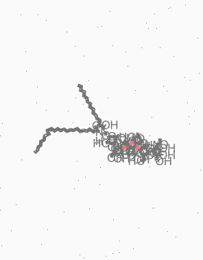 CCCCCCCC/C=C\CCCCCCCCCCCCCC(=O)N[C@@H](CO[C@@H]1OC(CO)[C@@H](O[C@@H]2OC(CO)[C@H](O)[C@H](O[C@@H]3OC(CO)[C@@H](O[C@@H]4OC(CO)[C@H](O)[C@H](O[C@@H]5OC(CO)[C@H](O)[C@H](O)C5NC(C)=O)C4O[C@H]4OC(C)[C@@H](O)C(O)[C@@H]4O)[C@H](O)C3NC(C)=O)C2O)[C@H](O)C1O)[C@H](O)/C=C/CCCCCCCCCCCCC